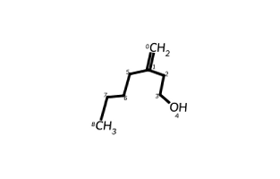 C=C(CCO)CCCC